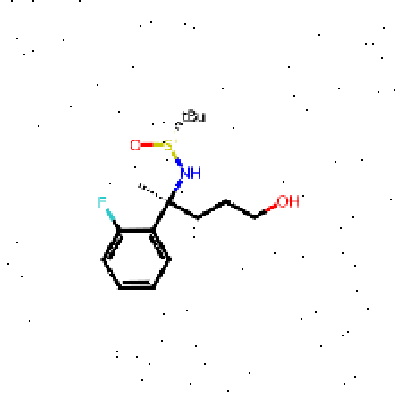 CC(C)(C)[S@@+]([O-])N[C@@](C)(CCCO)c1ccccc1F